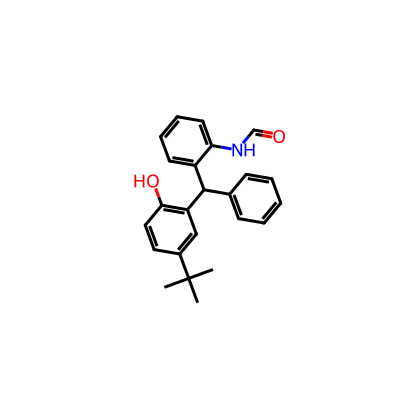 CC(C)(C)c1ccc(O)c(C(c2ccccc2)c2ccccc2NC=O)c1